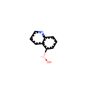 OBc1cccc2ncccc12